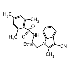 CC[C@@H](Cn1c(C)c(C#N)c2ccccc21)NS(=O)(=O)c1c(C)cc(C)cc1C